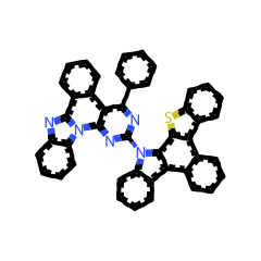 c1ccc(-c2nc(-n3c4ccccc4c4c5ccccc5c5c6ccccc6sc5c43)nc3c2c2ccccc2c2nc4ccccc4n23)cc1